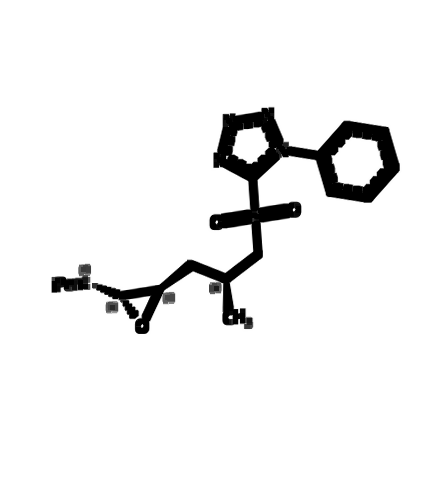 CCC[C@@H](C)[C@H]1O[C@@H]1C[C@H](C)CS(=O)(=O)c1nnnn1-c1ccccc1